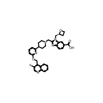 O=C(O)c1ccc2nc(CN3CCC(c4cccc(OCc5c(F)cnc6ccccc56)n4)CC3)n(C[C@@H]3CCO3)c2c1